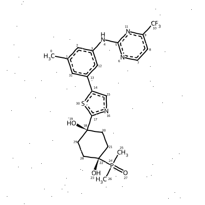 Cc1cc(Nc2nccc(C(F)(F)F)n2)cc(-c2cnc([C@]3(O)CC[C@](O)(P(C)(C)=O)CC3)s2)c1